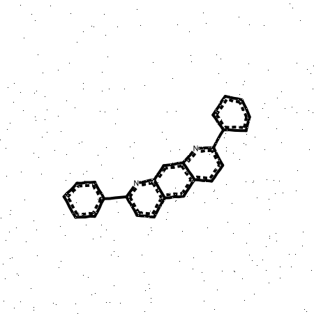 c1ccc(-c2ccc3cc4ccc(-c5ccccc5)nc4cc3n2)cc1